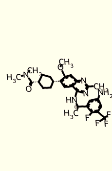 COc1cc2nc(C)nc(N[C@H](C)c3cc(N)cc(C(F)(F)F)c3F)c2cc1[C@H]1CC[C@@H](C(=O)N(C)C)CC1